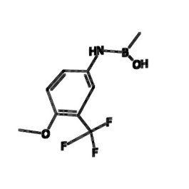 COc1ccc(NB(C)O)cc1C(F)(F)F